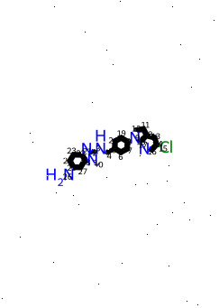 Cn1c(NCc2ccc(-n3ccc4cc(Cl)cnc43)cc2)nc2ccc(N)cc21